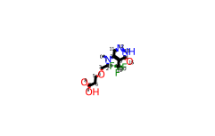 CN(CCOCCC(=O)O)c1cn[nH]c(=O)c1C(F)(F)F